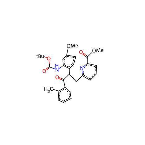 COC(=O)c1cccc(CC(C(=O)c2ccccc2C)c2ccc(OC)cc2NC(=O)OC(C)(C)C)n1